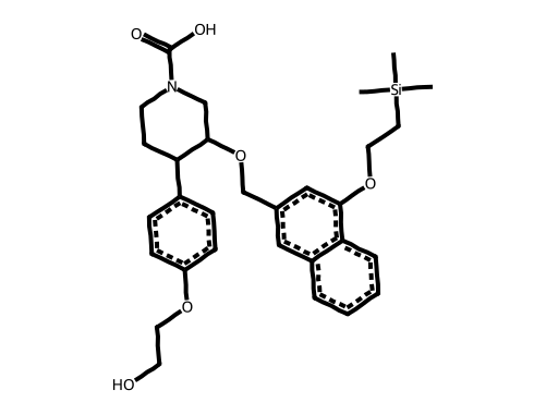 C[Si](C)(C)CCOc1cc(COC2CN(C(=O)O)CCC2c2ccc(OCCO)cc2)cc2ccccc12